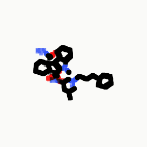 CC(C)CC(CNCCCc1ccccc1)NC(=O)[C@@H]1CCCC[C@@]1(C(N)=O)c1c(C(=O)O)n(C)c2ccccc12